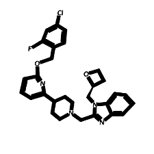 Fc1cc(Cl)ccc1COc1cccc(C2CCN(Cc3nc4ccccc4n3C[C@@H]3CCO3)CC2)n1